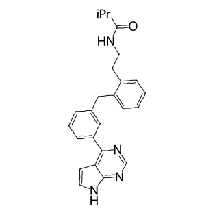 CC(C)C(=O)NCCc1ccccc1Cc1cccc(-c2ncnc3[nH]ccc23)c1